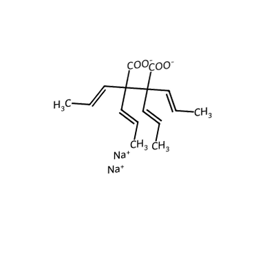 CC=CC(C=CC)(C(=O)[O-])C(C=CC)(C=CC)C(=O)[O-].[Na+].[Na+]